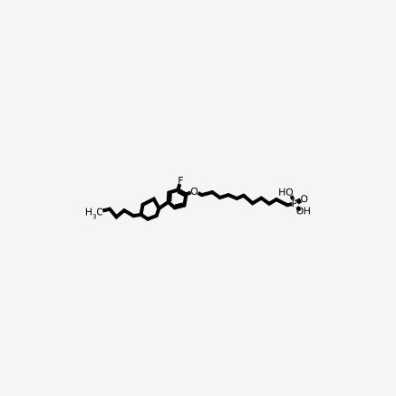 CCCCCC1CCC(c2ccc(OCCCCCCCCCCCP(=O)(O)O)c(F)c2)CC1